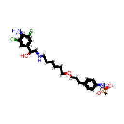 CS(=O)(=O)Nc1ccc(CCCOCCCCCCNCC(O)c2cc(Cl)c(N)c(Cl)c2)cc1